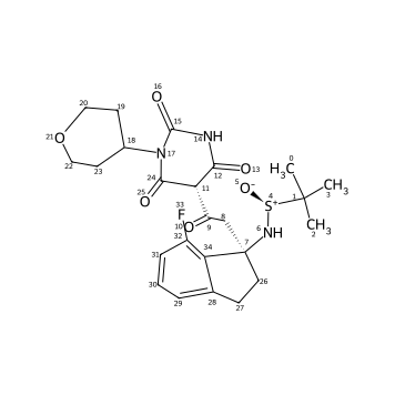 CC(C)(C)[S@+]([O-])N[C@@]1(CC(=O)[C@H]2C(=O)NC(=O)N(C3CCOCC3)C2=O)CCc2cccc(F)c21